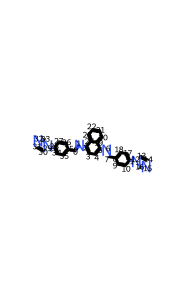 C(=N\c1ccc(/N=C/c2ccc(-n3ccnc3)cc2)c2ccccc12)/c1ccc(-n2ccnc2)cc1